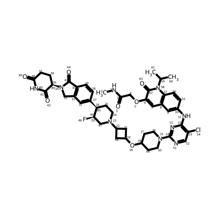 CNC(=O)COc1cc2cc(Nc3nc(N4CCC(OC5CC(N6CC[C@H](c7ccc8c(c7)CN([C@@H]7CCC(=O)NC7=O)C8=O)[C@H](F)C6)C5)CC4)ncc3Cl)ccc2n(C(C)C)c1=O